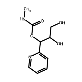 CNC(=O)OC(c1ccccn1)C(O)CO